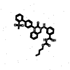 CCCCOC(=O)NC(=N)c1cccc(NN(Cc2ccccc2)C(=O)Nc2ccc(-c3ccccc3S(C)(=O)=O)cc2)c1